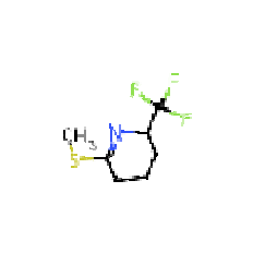 CSC1=NC(C(F)(F)F)CCC1